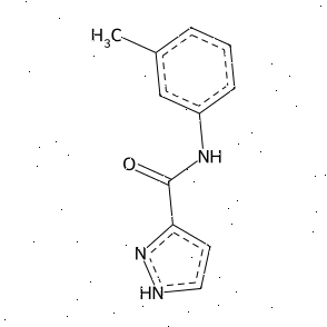 Cc1cccc(NC(=O)c2cc[nH]n2)c1